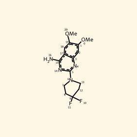 COc1cc2nc(N3CCC(F)(F)CC3)nc(N)c2cc1OC